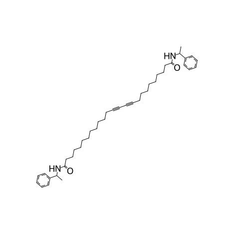 CC(NC(=O)CCCCCCCCC#CC#CCCCCCCCCCCCC(=O)NC(C)c1ccccc1)c1ccccc1